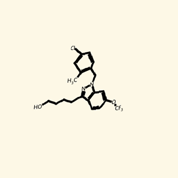 Cc1cc(Cl)ccc1Cn1nc(CCCCO)c2ccc(OC(F)(F)F)cc21